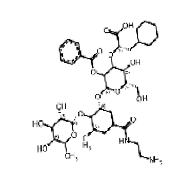 CC1O[C@@H](OC2[C@H](C)CC(C(=O)NCCN)C[C@H]2O[C@@H]2O[C@@H](CO)[C@H](O)C(O[C@@H](CC3CCCCC3)C(=O)O)C2OC(=O)c2ccccc2)[C@@H](O)C(O)[C@@H]1O